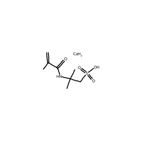 C=C(C)C(=O)NC(C)(C)CS(=O)(=O)O.[CaH2]